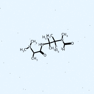 [2H]C(=O)N(C)C(C)(C)C(C)(C)NC(=O)C(C)N(C)C